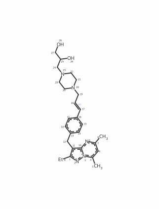 CCc1nn2c(C)cc(C)nc2c1Cc1ccc(/C=C/CN2CCN(CC(O)CO)CC2)cc1